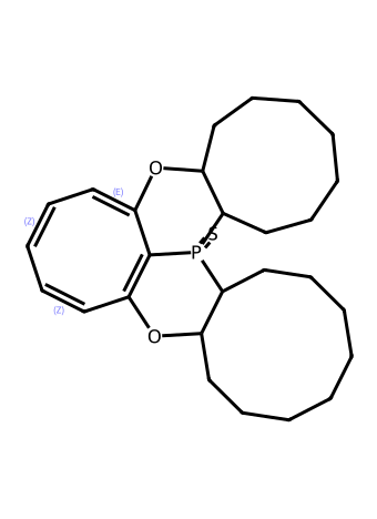 S=P12C3=C(\C=C/C=C\C=C3\OC3CCCCCCCC31)OC1CCCCCCCCC12